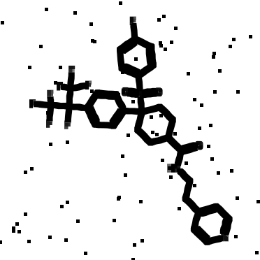 O=C(NCCc1ccncc1)C1CCC(c2ccc(C(F)(C(F)(F)F)C(F)(F)F)cc2)(S(=O)(=O)c2ccc(F)cc2)CC1